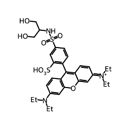 CCN(CC)c1ccc2c(-c3ccc(S(=O)(=O)NC(CO)CO)cc3S(=O)(=O)O)c3ccc(=[N+](CC)CC)cc-3oc2c1